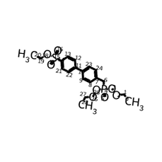 CCOOP(=O)(Cc1ccc(-c2ccc(S(=O)(=O)OCC)cc2)cc1)OOCC